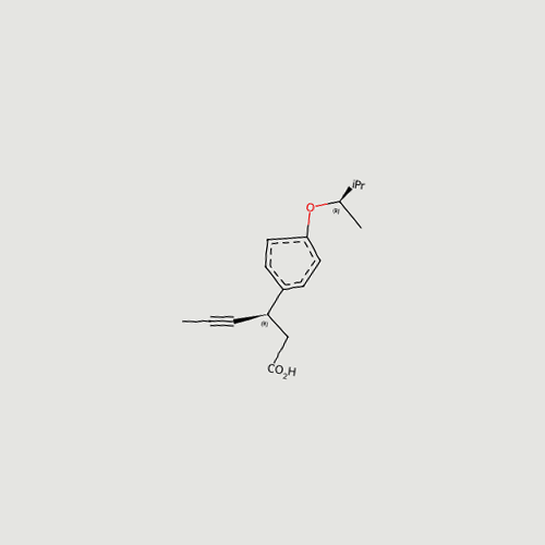 CC#C[C@H](CC(=O)O)c1ccc(O[C@H](C)C(C)C)cc1